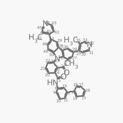 CC(=O)c1c(C(=O)Nc2cccc(-c3ccccc3)c2)cccc1-n1c2ccc(-c3ccncc3C)cc2c2cc(-c3ccncc3C)ccc21